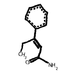 CCC(=CC(N)=O)c1ccccc1